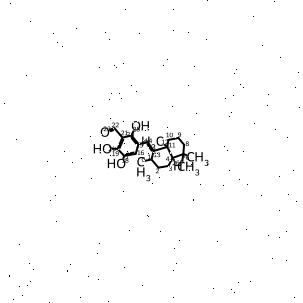 CC1CC[C@H]2C(C)(C)CCCC2(C)/C1=C/c1cc(O)c(O)c(C=O)c1O